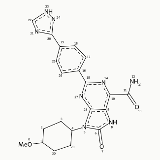 COC1CCC(n2c(=O)[nH]c3c(C(N)=O)nc(-c4ccc(-c5nc[nH]n5)cc4)nc32)CC1